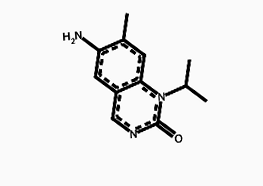 Cc1cc2c(cnc(=O)n2C(C)C)cc1N